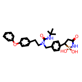 CC(C)(C)NC(=O)N(CCc1ccc(Oc2ccccc2)cc1)Cc1ccc(C2CC(=O)NS2(O)O)cc1